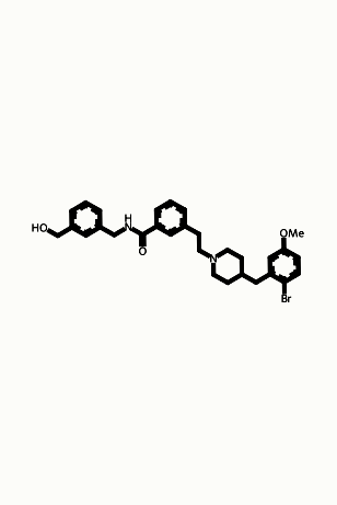 COc1ccc(Br)c(CC2CCN(CCc3cccc(C(=O)NCc4cccc(CO)c4)c3)CC2)c1